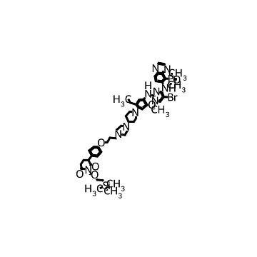 CCc1cc(Nc2ncc(Br)c(Nc3ccc4nccnc4c3P(C)(C)=O)n2)c(OC)cc1N1CCC(N2CCN(CCCOc3ccc(C4CCC(=O)N(COCC[Si](C)(C)C)C4=O)cc3)CC2)CC1